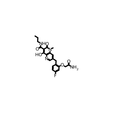 CCCNC(=O)c1c(O)c2ncc(Cc3ccc(F)cc3OCC(N)=O)cc2n(C)c1=O